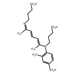 CC(/C=C/C=C(\C)N(CCCS(=O)(=O)O)c1ccc(S(=O)(=O)O)cc1C)=N/CCCS(=O)(=O)O